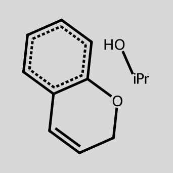 C1=Cc2ccccc2OC1.CC(C)O